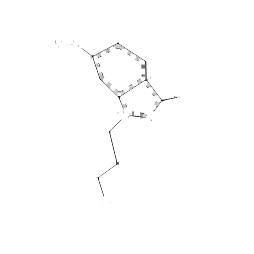 CNc1ccc2c(C)nn(CCCO)c2c1